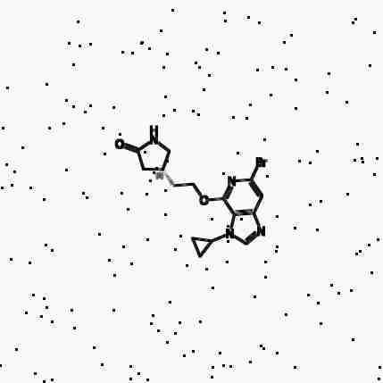 O=C1C[C@@H](CCOc2nc(Br)cc3ncn(C4CC4)c23)CN1